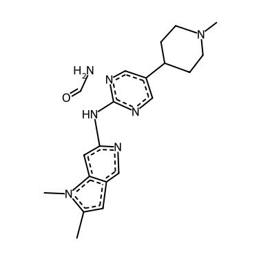 Cc1cc2cnc(Nc3ncc(C4CCN(C)CC4)cn3)cc2n1C.NC=O